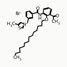 CCCCCCCCCCCCCCOc1c(NC(=O)c2cccc(C[n+]3csc(C)c3)c2)cccc1C(C)=O.[Br-]